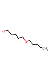 CCCCCOCCCCC[O]